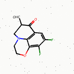 O=CC1CN2CCOc3c(F)c(F)cc(c32)C1=O